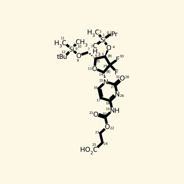 CC(C)[Si](C)(C)O[C@@H]1[C@@H](CO[Si](C)(C)C(C)(C)C)O[C@@H](n2ccc(NC(=O)OCCC(=O)O)nc2=O)C1(F)F